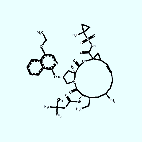 CCOc1cnc(O[C@@H]2C[C@H]3C(=O)NC4(C(=O)NS(=O)(=O)C5(C)CC5)CC4/C=C\CC[C@@H](C)C[C@@H](CC)[C@H](NC(=O)OC(C)(C)C)C(=O)N3C2)c2ccccc12